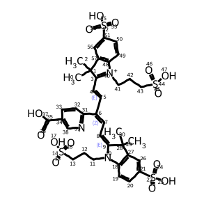 CC1(C)C(/C=C/C(=C/C=C2/N(CCCS(=O)(=O)O)c3ccc(S(=O)(=O)O)cc3C2(C)C)c2ccc(C(=O)O)cn2)=[N+](CCCS(=O)(=O)O)c2ccc(S(=O)(=O)O)cc21